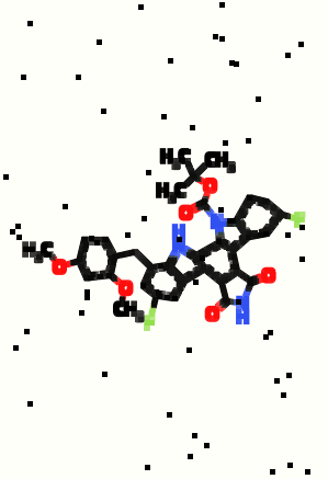 COc1ccc(Cc2cc(F)cc3c2[nH]c2c3c3c(c4c5cc(F)ccc5n(C(=O)OC(C)(C)C)c24)C(=O)NC3=O)c(OC)c1